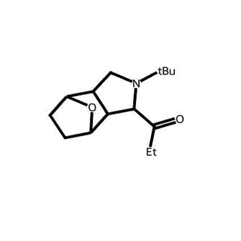 CCC(=O)C1C2C3CCC(O3)C2CN1C(C)(C)C